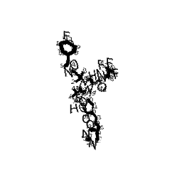 CC(C)(c1ncc(-c2ccc(F)cc2)o1)N1CCN(C[C@H](C[C@@H](Cc2cc3cncnc3o2)C(=O)O)O[Si](C)(C)C(C)(C)C)[C@H](C(=O)NCC(F)(F)F)C1